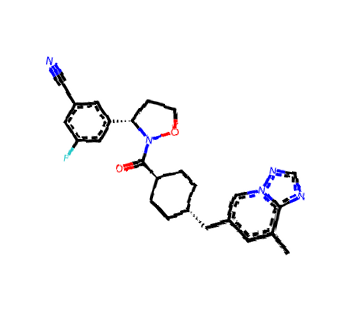 Cc1cc(C[C@H]2CC[C@H](C(=O)N3OCC[C@H]3c3cc(F)cc(C#N)c3)CC2)cn2ncnc12